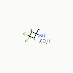 CC1(NC(=O)O)CC(F)(F)C1